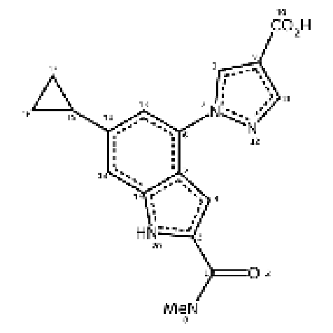 CNC(=O)c1cc2c(-n3cc(C(=O)O)cn3)cc(C3CC3)cc2[nH]1